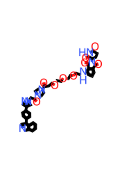 O=C1CCC(N2C(=O)c3cccc(NCCOCCOCCOCCC(=O)N4CCN(C(=O)Cn5cc(-c6ccc(-c7cncc8ccccc78)cc6)cn5)CC4)c3C2=O)C(=O)N1